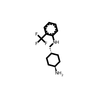 N[C@H]1CC[C@H](CNc2ccccc2C(F)(F)F)CC1